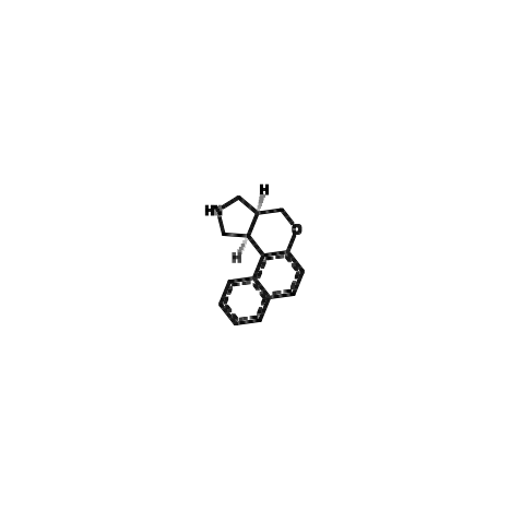 c1ccc2c3c(ccc2c1)OC[C@@H]1CNC[C@H]31